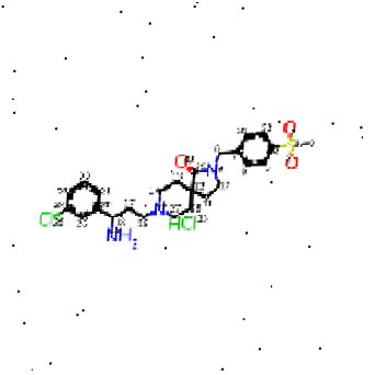 CS(=O)(=O)c1ccc(CN2CCC3(CCN(CCC(N)c4cccc(Cl)c4)CC3)C2=O)cc1.Cl